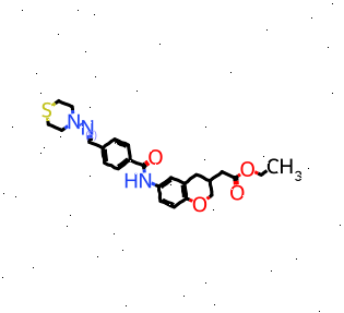 CCOC(=O)CC1COc2ccc(NC(=O)c3ccc(/C=N/N4CCSCC4)cc3)cc2C1